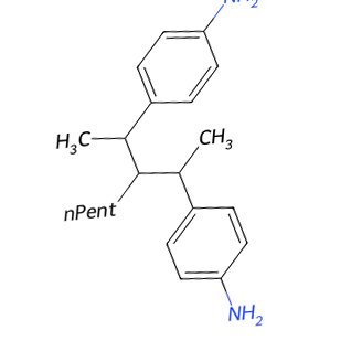 CCCCCC(C(C)c1ccc(N)cc1)C(C)c1ccc(N)cc1